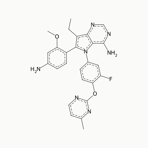 CCc1c(-c2ccc(N)cc2OC)n(-c2ccc(Oc3nccc(C)n3)c(F)c2)c2c(N)ncnc12